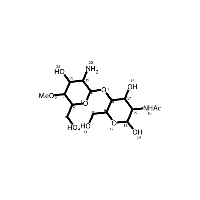 COC1C(CO)OC(OC2C(CO)OC(O)C(NC(C)=O)C2O)C(N)C1O